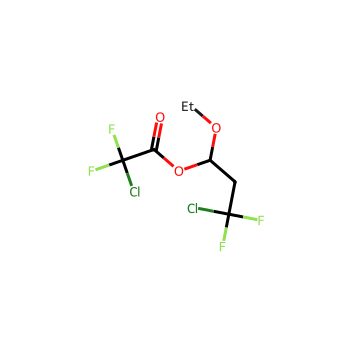 CCOC(CC(F)(F)Cl)OC(=O)C(F)(F)Cl